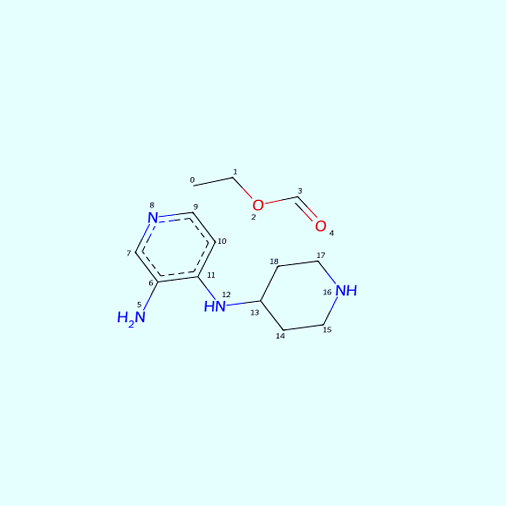 CCOC=O.Nc1cnccc1NC1CCNCC1